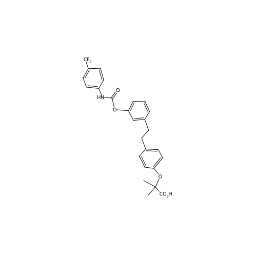 CC(C)(Oc1ccc(CCc2cccc(OC(=O)Nc3ccc(C(F)(F)F)cc3)c2)cc1)C(=O)O